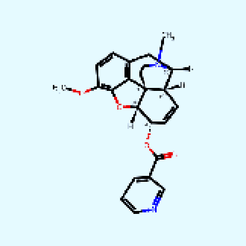 COc1ccc2c3c1O[C@H]1[C@@H](OC(=O)c4cccnc4)C=C[C@H]4[C@@H](C2)N(C)CC[C@@]341